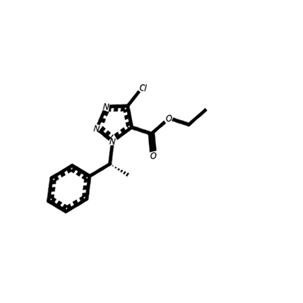 CCOC(=O)c1c(Cl)nnn1[C@H](C)c1ccccc1